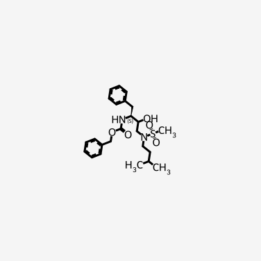 CC(C)CCN(CC(O)[C@H](Cc1ccccc1)NC(=O)OCc1ccccc1)S(C)(=O)=O